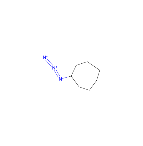 [N-]=[N+]=NC1CCCCCC1